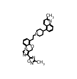 Cc1ccc2c(C3CCN(CCc4cccc5c4OCc4c(-c6nc(C)no6)ncn4-5)CC3)cccc2n1